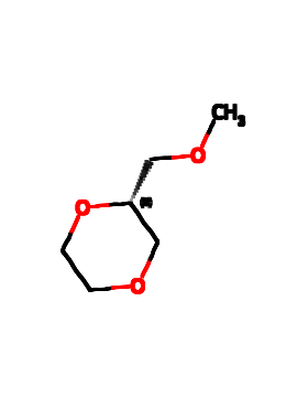 COC[C@@H]1COCCO1